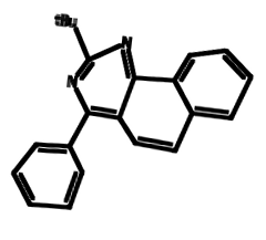 CC(C)(C)c1nc(-c2ccccc2)c2ccc3ccccc3c2n1